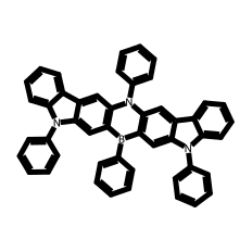 c1ccc(B2c3cc4c(cc3N(c3ccccc3)c3cc5c6ccccc6n(-c6ccccc6)c5cc32)c2ccccc2n4-c2ccccc2)cc1